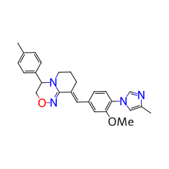 COc1cc(/C=C2\CCCN3C2=NOCC3c2ccc(C)cc2)ccc1-n1cnc(C)c1